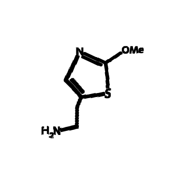 COc1ncc(CN)s1